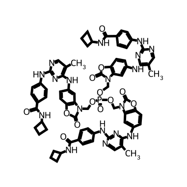 Cc1cnc(Nc2ccc(C(=O)NC3CCC3)cc2)nc1Nc1ccc2oc(=O)n(COP(=O)(OCn3c(=O)oc4ccc(Nc5nc(Nc6ccc(C(=O)NC7CCC7)cc6)ncc5C)cc43)OCn3c(=O)oc4ccc(Nc5nc(Nc6ccc(C(=O)NC7CCC7)cc6)ncc5C)cc43)c2c1